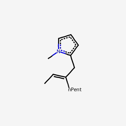 CC=C(CCCCC)Cc1cccn1C